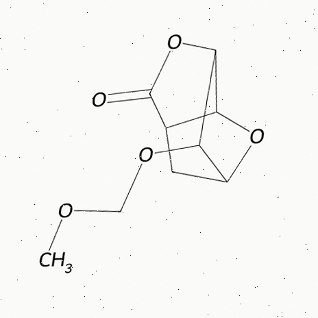 COCOC1C2CC3C(=O)OC1C3O2